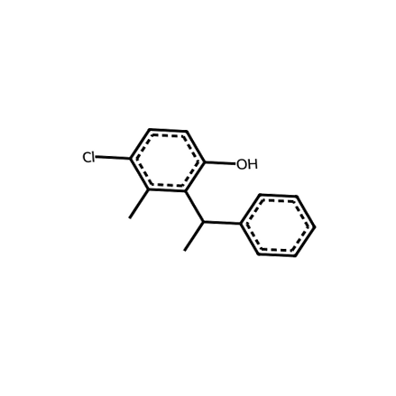 Cc1c(Cl)ccc(O)c1C(C)c1ccccc1